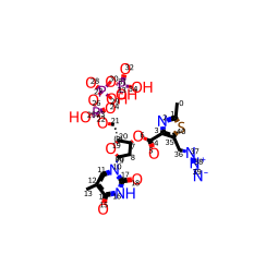 Cc1nc(C(=O)OC2C[C@H](n3cc(C)c(=O)[nH]c3=O)O[C@@H]2COP(=O)(O)OP(=O)(O)OP(=O)(O)O)c(CN=[N+]=[N-])s1